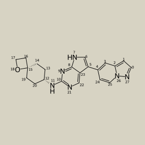 c1cc2cc(-c3c[nH]c4nc(N[C@H]5CC[C@]6(CCO6)CC5)ncc34)ccn2n1